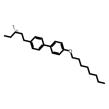 CCCCCCCCOc1ccc(-c2ccc(CC[C@@H](C)CC)cc2)cc1